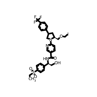 CCS(=O)(=O)c1ccc([C@H](CO)NC(=O)c2ccc(N3CC(c4ccc(C(F)(F)F)cc4)C[C@H]3COCI)nc2)cc1